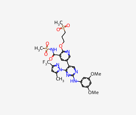 COc1cc(Nc2ncc(-c3cnc(OCCCS(C)(=O)=O)c(C(=O)NS(C)(=O)=O)c3)c(-n3nc(C(F)(F)F)cc3C)n2)cc(OC)c1